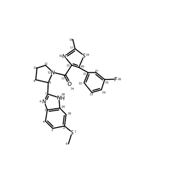 CSc1ccc2nc(C3CCCN3C(=O)c3nc(C)sc3-c3cccc(F)c3)[nH]c2c1